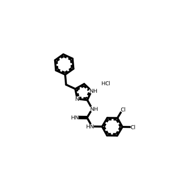 Cl.N=C(Nc1ccc(Cl)c(Cl)c1)Nc1nc(Cc2ccccc2)c[nH]1